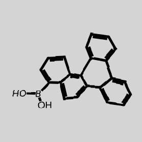 OB(O)c1cccc2c1ccc1c3ccccc3c3ccccc3c21